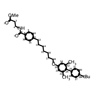 COC(=O)CCNC(=O)c1ccc(CCCCCCCOc2cc(C)c(-c3ccc(C(C)(C)C)cc3)c(C)c2)cc1